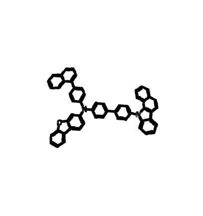 c1ccc2c(-c3ccc(N(c4ccc(-c5ccc(-n6c7ccccc7c7ccc8ccccc8c76)cc5)cc4)c4ccc5c(c4)oc4ccccc45)cc3)cccc2c1